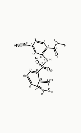 COC(=O)c1ccc(C#N)cc1NS(=O)(=O)c1cccc2nsnc12